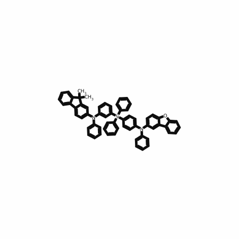 CC1(C)c2ccccc2-c2ccc(N(c3ccccc3)c3cccc([Si](c4ccccc4)(c4ccccc4)c4ccc(N(c5ccccc5)c5ccc6oc7ccccc7c6c5)cc4)c3)cc21